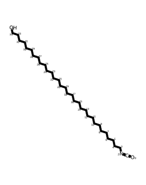 O=C=NCCCCCCCCCCCCCCCCCCCCCCCCCCCCCCCCO